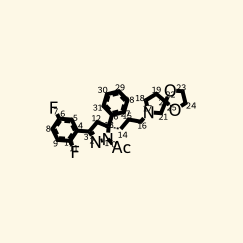 CC(=O)N1N=C(c2cc(F)ccc2F)C[C@@]1(CCCN1CCC2(C1)OCCO2)c1ccccc1